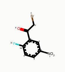 O=C(CBr)c1cc([N+](=O)[O-])ccc1F